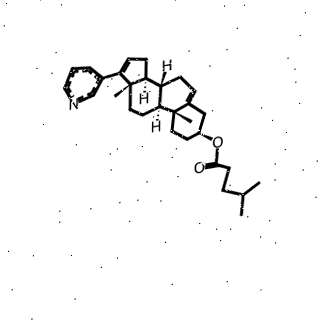 CC(C)CCC(=O)O[C@H]1CC[C@@]2(C)C(=CC[C@@H]3[C@@H]2CC[C@]2(C)C(c4cccnc4)=CC[C@@H]32)C1